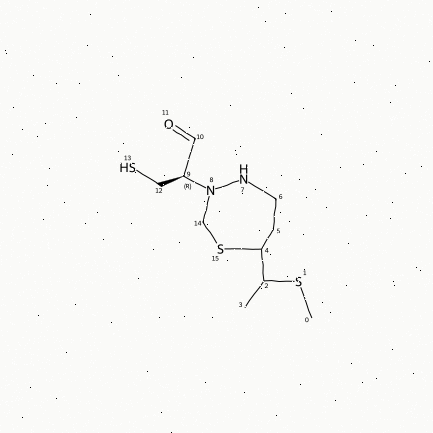 CSC(C)C1CCNN([C@H](C=O)CS)CS1